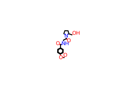 O=C(NCC(=O)N1CCCC1CO)c1ccc2c(c1)OCO2